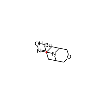 CC(C)(C)CN1C2COCC1CC(=NO)C2